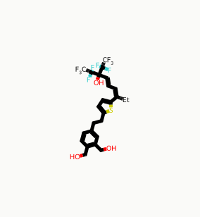 CC/C(=C/C=C/C(O)(C(F)(F)C(F)(F)F)C(F)(F)C(F)(F)F)c1ccc(CCc2ccc(CO)c(CO)c2)s1